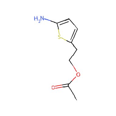 CC(=O)OCCc1ccc(N)s1